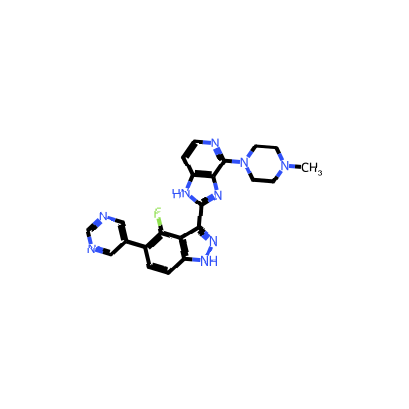 CN1CCN(c2nccc3[nH]c(-c4n[nH]c5ccc(-c6cncnc6)c(F)c45)nc23)CC1